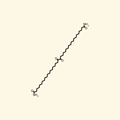 NC(=O)CCCCCCCCCCCCCCCCCC(=O)C(=O)CCCCCCCCCCCCCCCCCC(N)=O